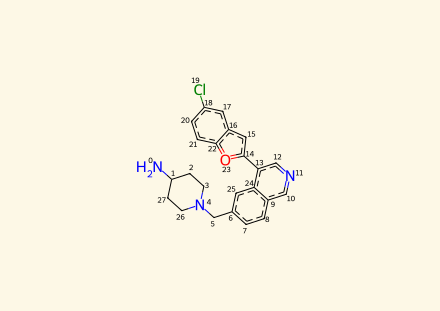 NC1CCN(Cc2ccc3cncc(-c4cc5cc(Cl)ccc5o4)c3c2)CC1